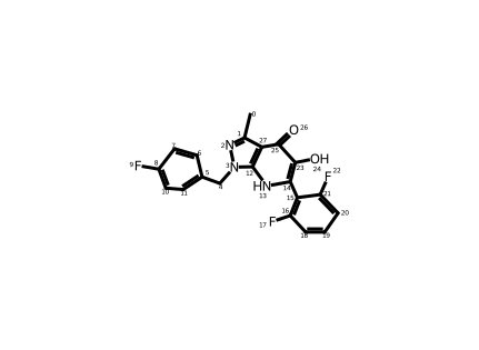 Cc1nn(Cc2ccc(F)cc2)c2[nH]c(-c3c(F)cccc3F)c(O)c(=O)c12